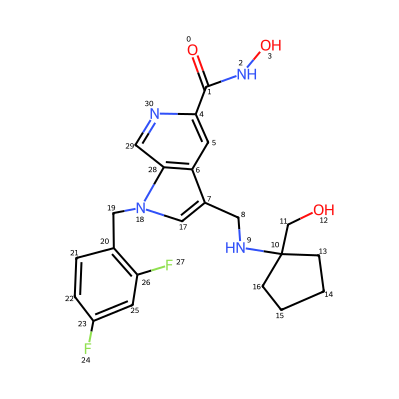 O=C(NO)c1cc2c(CNC3(CO)CCCC3)cn(Cc3ccc(F)cc3F)c2cn1